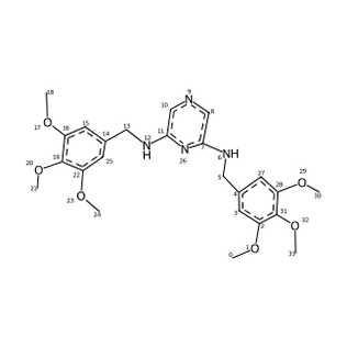 COc1cc(CNc2cncc(NCc3cc(OC)c(OC)c(OC)c3)n2)cc(OC)c1OC